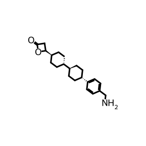 NCc1ccc([C@H]2CC[C@H]([C@H]3CC[C@H](C4CC(=O)O4)CC3)CC2)cc1